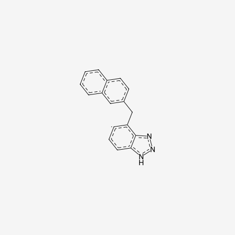 [c]1ccc2[nH]nnc2c1Cc1ccc2ccccc2c1